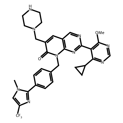 COc1ncnc(C2CC2)c1-c1ncc2cc(CN3CCNCC3)c(=O)n(Cc3ccc(-c4nc(C(F)(F)F)cn4C)cc3)c2n1